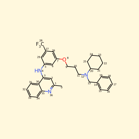 Cc1cc(Nc2cc(OCCCN(Cc3ccccc3)C3CCCCC3)cc(C(F)(F)F)c2)c2ccccc2n1